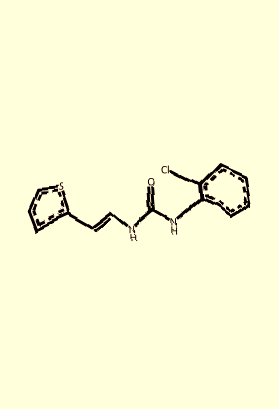 O=C(NC=Cc1cccs1)Nc1ccccc1Cl